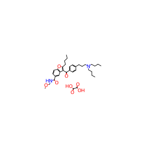 CCCCc1oc2ccc(C(=O)NCOC)cc2c1C(=O)c1ccc(CCCN(CCCC)CCCC)cc1.O=C(O)C(=O)O